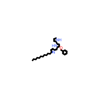 CCCCCCCCCCCC1=N/C(=C/c2[nH]c(-c3ccc[nH]3)cc2OCc2ccccc2)C=C1